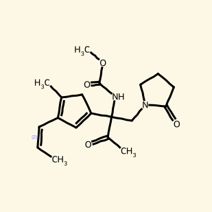 C/C=C\C1=C(C)CC(C(CN2CCCC2=O)(NC(=O)OC)C(C)=O)=C1